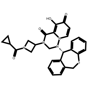 O=C(C1CC1)N1CC(N2CN([C@H]3c4ccccc4CSc4ccccc43)n3ccc(=O)c(O)c3C2=O)C1